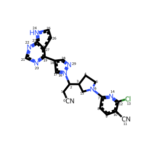 N#CCC(C1CCN(c2ccc(C#N)c(Cl)n2)C1)n1cc(-c2ncnc3[nH]ccc23)cn1